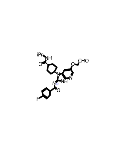 CC(C)NC(=O)[C@H]1CC[C@@H](n2/c(=N/C(=O)c3ccc(F)cc3)[nH]c3ncc(OCC=O)cc32)CC1